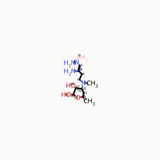 BN(N)/C=C(\N)CCN(C)[C@H]1C[C@@H](C)O[C@@H](O)[C@@H]1O